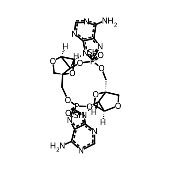 Nc1ncnc2c1ncn2[C@@H]1O[C@@]23CO[C@@H]1[C@@H]2O[P@@](=O)(S)OC[C@@]12CO[C@@H]([C@H](n4cnc5c(N)ncnc54)O1)[C@@H]2O[P@](=O)(S)OC3